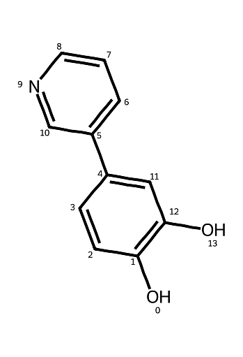 Oc1ccc(-c2cccnc2)cc1O